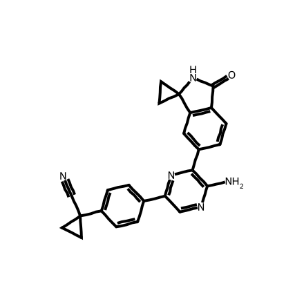 N#CC1(c2ccc(-c3cnc(N)c(-c4ccc5c(c4)C4(CC4)NC5=O)n3)cc2)CC1